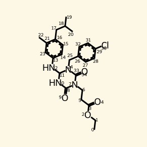 CCOC(=O)CCN1C(=O)NC(Nc2ccc(CC(C)C)c(C)c2)N(Cc2ccc(Cl)cc2)C1=O